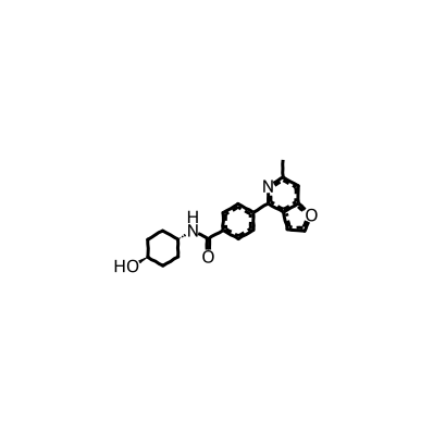 Cc1cc2occc2c(-c2ccc(C(=O)N[C@H]3CC[C@H](O)CC3)cc2)n1